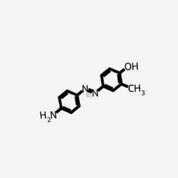 Cc1cc(/N=N/c2ccc(N)cc2)ccc1O